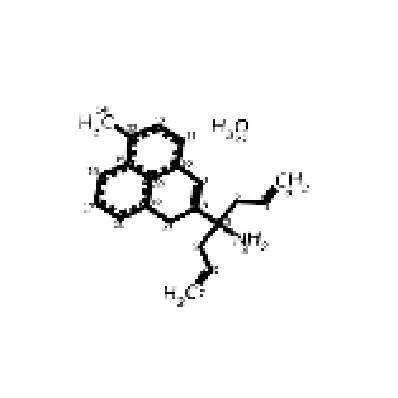 C=CCC(N)(CC=C)C1=Cc2ccc(C)c3cccc(c23)C1.O